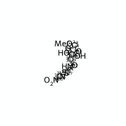 COc1cccc2c1C(=O)c1c(O)c3c(c(O)c1C2=O)C[C@@H](C(=O)NCC(C)(C)SSc1ccc([N+](=O)[O-])cn1)CC3